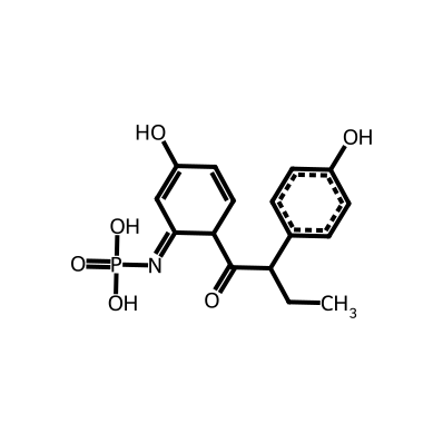 CCC(C(=O)C1C=CC(O)=C/C1=N\P(=O)(O)O)c1ccc(O)cc1